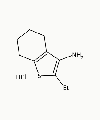 CCc1sc2c(c1N)CCCC2.Cl